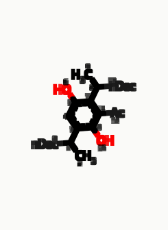 CCCCCCCCCCC(C)c1cc(O)c(C(C)CCCCCCCCCC)c(C(C)=O)c1O